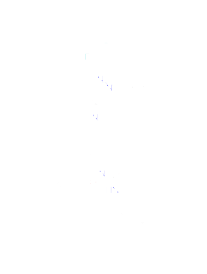 O=C(Cn1nc(C(F)F)cc1C1CC1)N1CCC(C2CC3CC=CC=C3ON(C(=O)NC3CCCc4ccccc43)C2)CC1